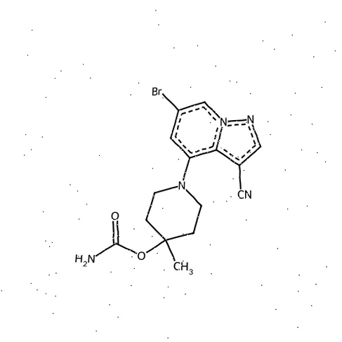 CC1(OC(N)=O)CCN(c2cc(Br)cn3ncc(C#N)c23)CC1